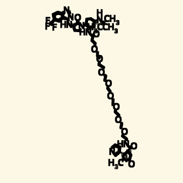 CN1C(=O)C[C@H](C(=O)NCCOCCOCCOCCOCCOCCOCCOCCOCCC(=O)N[C@@H]2C[C@H](NC(C)(C)C)CC[C@@H]2N2CC[C@H](Nc3ncnc4ccc(C(F)(F)F)cc34)C2=O)[C@H]1c1cccnc1